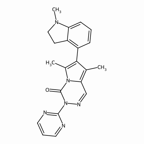 Cc1c(-c2cccc3c2CCN3C)c(C)n2c(=O)n(-c3ncccn3)ncc12